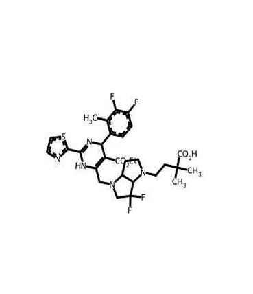 CCOC(=O)C1=C(CN2CC(F)(F)C3C2CCN3CCC(C)(C)C(=O)O)NC(c2nccs2)=NC1c1ccc(F)c(F)c1C